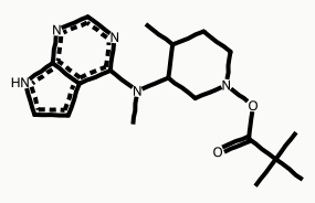 CC1CCN(OC(=O)C(C)(C)C)CC1N(C)c1ncnc2[nH]ccc12